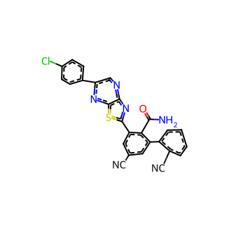 N#Cc1cc(-c2nc3ncc(-c4ccc(Cl)cc4)nc3s2)c(C(N)=O)c(-c2ccccc2C#N)c1